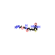 [N-]=[N+]=NCCOCCNC(=O)CCCC[C@@H]1SCC2NC(=O)NC21